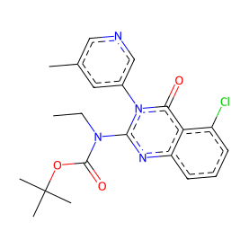 CCN(C(=O)OC(C)(C)C)c1nc2cccc(Cl)c2c(=O)n1-c1cncc(C)c1